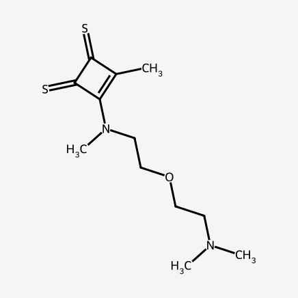 Cc1c(N(C)CCOCCN(C)C)c(=S)c1=S